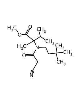 COC(=O)C(C)(C(C)C)N(CCC(C)(C)C)C(=O)CC#N